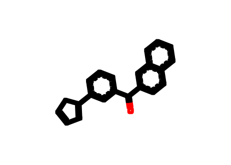 O=C(c1cccc(C2=CC=CC2)c1)c1ccc2ccccc2c1